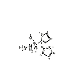 NN.O=[N+]([O-])c1ccco1.c1ccsc1